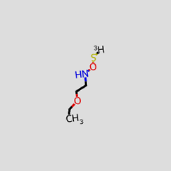 [3H]SONCCOCC